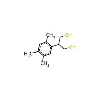 Cc1cc(C)c(C(CS)CS)cc1C